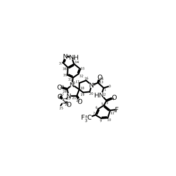 CC(NC(=O)c1cc(C(F)(F)F)ccc1F)C(=O)N1CCC2(CC1)C(=O)N(S(C)(=O)=O)C(=O)N2c1ccc2[nH]ncc2c1